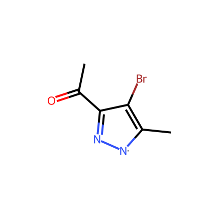 CC(=O)C1=N[N]C(C)=C1Br